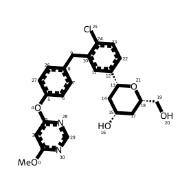 COc1cc(Oc2ccc(Cc3cc([C@H]4C[C@@H](O)C[C@@H](CO)O4)ccc3Cl)cc2)ncn1